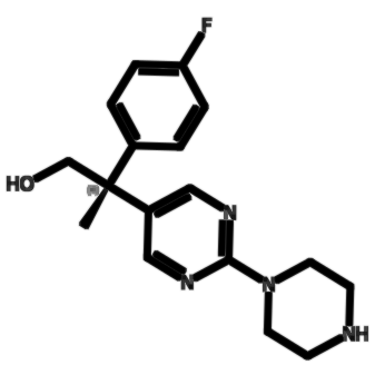 C[C@@](CO)(c1ccc(F)cc1)c1cnc(N2CCNCC2)nc1